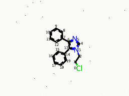 ClCCn1cnc(-c2ccccc2)c1-c1ccccc1